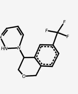 FC(F)(F)c1ccc2c(c1)C(N1C=CC=NN1)COC2